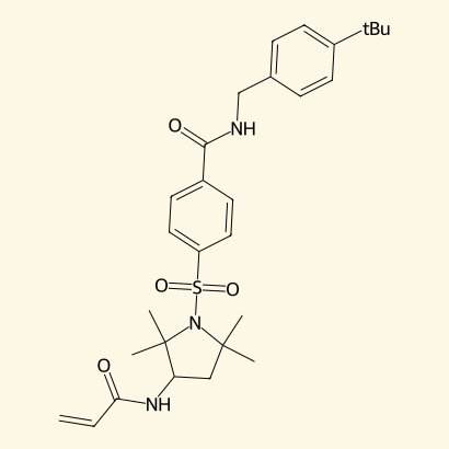 C=CC(=O)NC1CC(C)(C)N(S(=O)(=O)c2ccc(C(=O)NCc3ccc(C(C)(C)C)cc3)cc2)C1(C)C